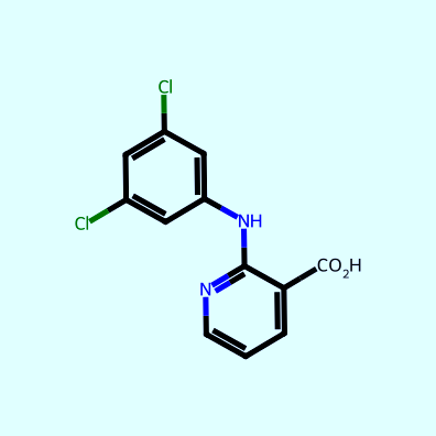 O=C(O)c1cccnc1Nc1cc(Cl)cc(Cl)c1